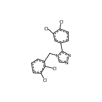 Clc1ccc(-c2nncn2Cc2cccc(Cl)c2Cl)cc1Cl